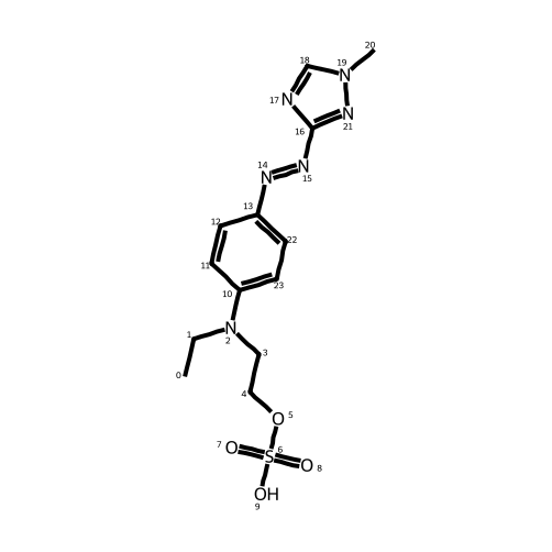 CCN(CCOS(=O)(=O)O)c1ccc(N=Nc2ncn(C)n2)cc1